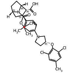 Cc1cc(Cl)c(O[C@@H]2CCN(c3ccc([C@H]4C[C@@H]5CC[C@H]([C@@H]4C(=O)O)N5C(=O)OC(C)(C)C)cc3)C2)c(Cl)c1